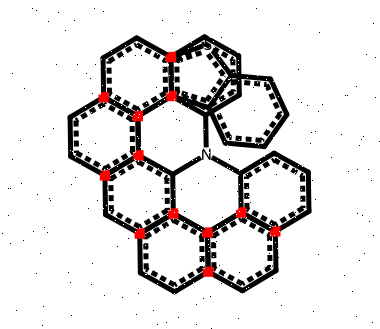 c1ccc(-c2ccccc2N(c2ccccc2-c2ccccc2)c2c(-c3ccccc3)cccc2-c2cccc3sc4ccccc4c23)cc1